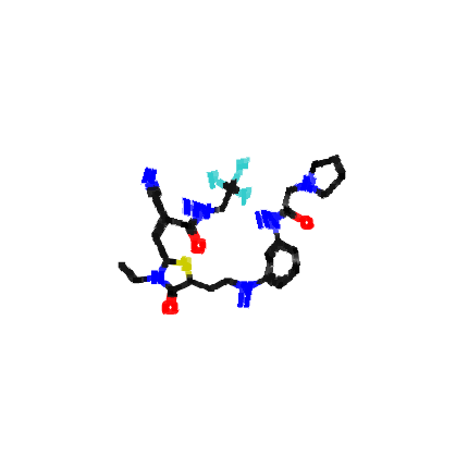 CCN1C(=O)C(CCNc2cccc(NC(=O)CN3CCCC3)c2)SC1CC(C#N)C(=O)NCC(F)(F)F